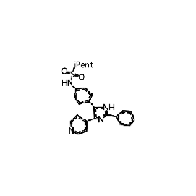 CCCC(C)S(=O)(=O)Nc1ccc(-c2[nH]c(-c3ccccc3)nc2-c2ccncc2)cc1